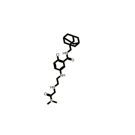 CN(C)C(=O)CNCCNc1ccc(Cl)c(C(=O)NCC23CC4CC(CC(C4)C2)C3)c1